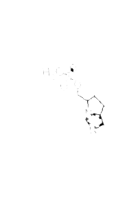 CS(=O)(=O)OCC1CCc2cncn21